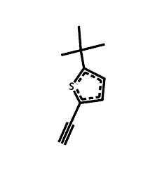 C#Cc1ccc(C(C)(C)C)s1